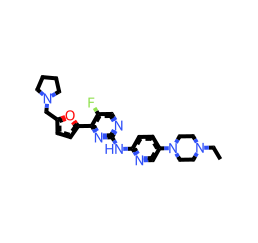 CCN1CCN(c2ccc(Nc3ncc(F)c(-c4ccc(CN5CCCC5)o4)n3)nc2)CC1